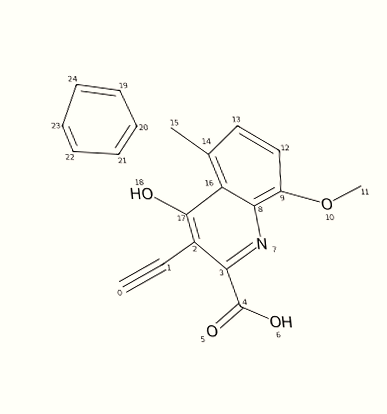 C#Cc1c(C(=O)O)nc2c(OC)ccc(C)c2c1O.c1ccccc1